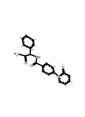 NC(=O)C(NC(=O)c1ccc(-n2ccccc2=O)cc1)c1ccccc1